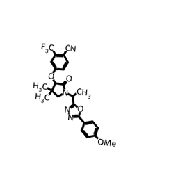 COc1ccc(-c2nnc(C(C)N3CC(C)(C)C(Oc4ccc(C#N)c(C(F)(F)F)c4)C3=O)o2)cc1